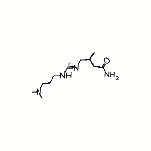 CC(C/N=C/NCCCN(C)C)CC(N)=O